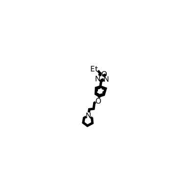 CCc1nc(-c2ccc(OCCCN3CCCCC3)cc2)no1